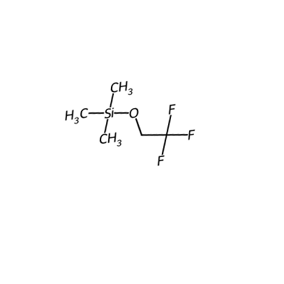 C[Si](C)(C)OCC(F)(F)F